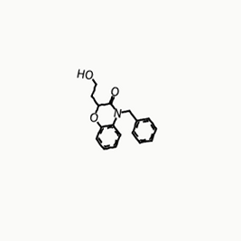 O=C1C(CCO)Oc2ccccc2N1Cc1ccccc1